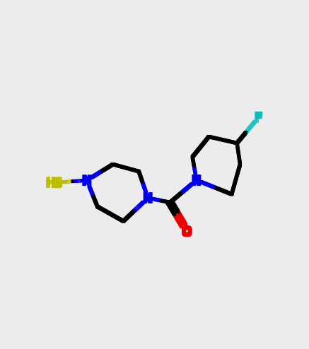 O=C(N1CCC(F)CC1)N1CCN(S)CC1